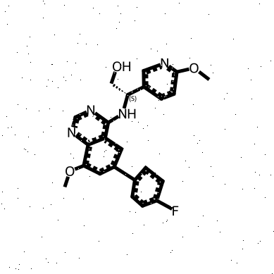 COc1ccc([C@@H](CO)Nc2ncnc3c(OC)cc(-c4ccc(F)cc4)cc23)cn1